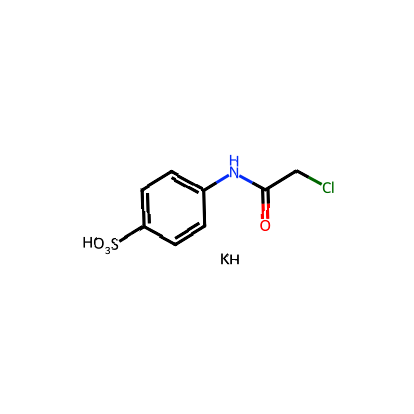 O=C(CCl)Nc1ccc(S(=O)(=O)O)cc1.[KH]